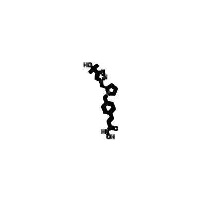 CC(C)(O)c1cn(C[C@H]2CCCN2Cc2ccc(/C=C/C(=O)NO)cc2)nn1